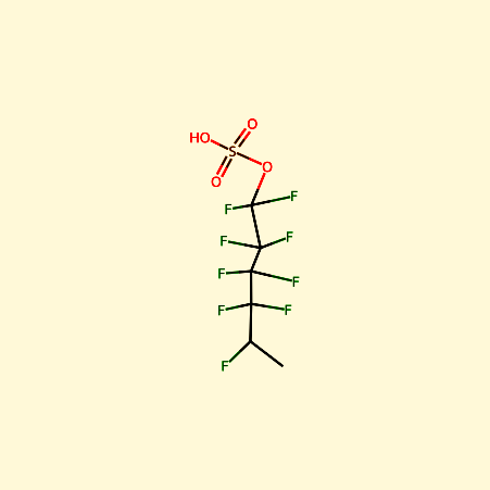 CC(F)C(F)(F)C(F)(F)C(F)(F)C(F)(F)OS(=O)(=O)O